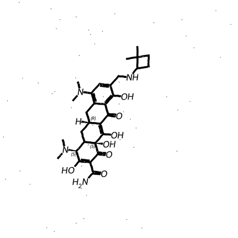 CN(C)c1cc(CNC2CCC2(C)C)c(O)c2c1C[C@H]1CC3[C@H](N(C)C)C(O)=C(C(N)=O)C(=O)[C@@]3(O)C(O)=C1C2=O